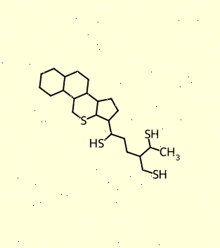 CC(S)C(CS)CCC(S)C1CCC2C3CCC4CCCCC4C3CSC12